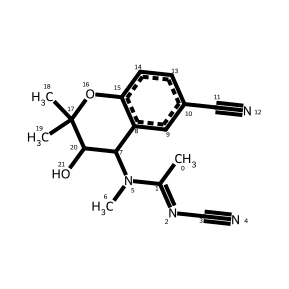 C/C(=N\C#N)N(C)C1c2cc(C#N)ccc2OC(C)(C)C1O